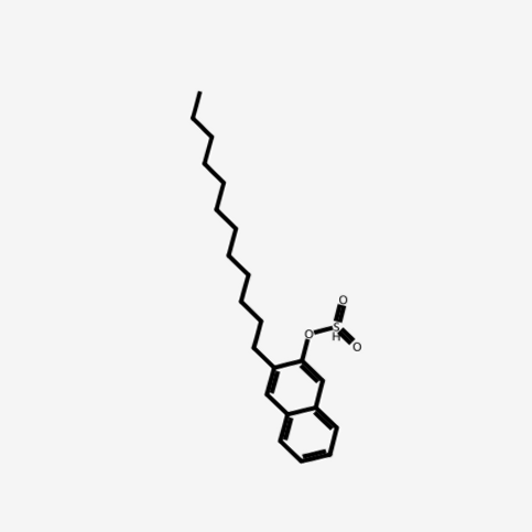 CCCCCCCCCCCCc1cc2ccccc2cc1O[SH](=O)=O